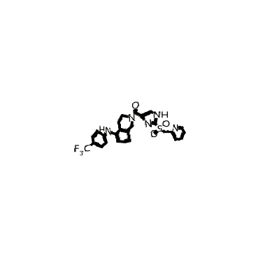 O=C(c1c[nH]c(S(=O)(=O)Cc2ccccn2)n1)N1CCc2c(cccc2Nc2ccc(C(F)(F)F)cc2)C1